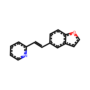 C(=Cc1ccccn1)c1ccc2occc2c1